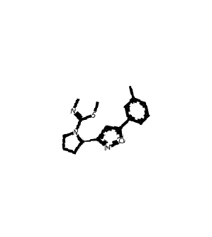 C/N=C(\SC)N1CCC[C@@H]1c1cc(-c2cccc(C)c2)on1